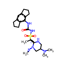 C=NN1CC(N(C)C)CN/C1=C(/C)S(=O)(=O)NC(=O)Nc1c2c(cc3c1CCC3)CCC2